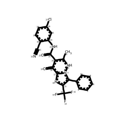 Cc1[nH]n2c(-c3ccccc3)c(C(F)(F)F)nc2c(=O)c1C(=O)Nc1cc(Cl)ccc1C#N